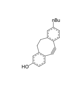 CCCCc1ccc2c(c1)CCc1cc(O)ccc1C#C2